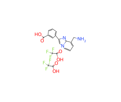 NCc1cccn2cc(-c3cccc(C(=O)O)c3)nc12.O=C(O)C(F)(F)F.O=C(O)C(F)(F)F